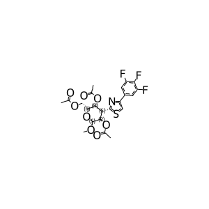 CO[C@H]1O[C@H](COC(C)=O)[C@H](OC(C)=O)[C@H](c2nc(-c3cc(F)c(F)c(F)c3)cs2)[C@H]1OC(C)=O